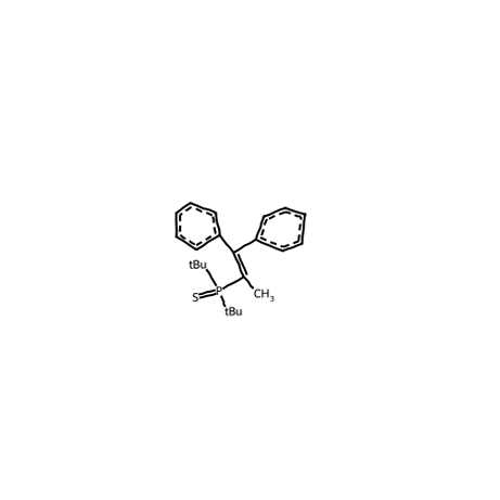 CC(=C(c1ccccc1)c1ccccc1)P(=S)(C(C)(C)C)C(C)(C)C